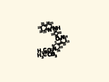 CC(C)(C)OC(=O)N1CCC(c2cccnc2O[C@H]2C[C@H](Nc3ccc4ccccc4n3)C2)CC1